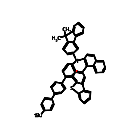 CC(C)(C)c1ccc(-c2ccc(-c3ccc(N(c4ccc5c(c4)-c4ccccc4C5(C)C)c4ccc5ccccc5c4-c4ccc5sc6ccccc6c5c4)cc3)cc2)cc1